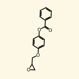 O=C(Oc1ccc(OCC2CO2)cc1)c1ccccc1